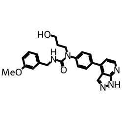 COc1cccc(CNC(=O)N(CCCO)c2ccc(-c3ccnc4[nH]ncc34)cc2)c1